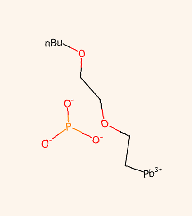 CCCCOCCOC[CH2][Pb+3].[O-]P([O-])[O-]